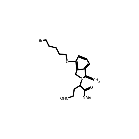 C=C1c2cccc(OCCCCCBr)c2CN1C(CCC=O)C(=O)NC